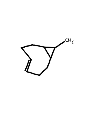 [CH2]C1C2CC/C=C/CCC12